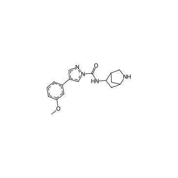 COc1cccc(-c2cnn(C(=O)NC3CC4CC3CN4)c2)c1